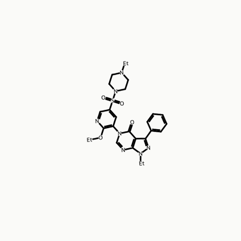 CCOc1ncc(S(=O)(=O)N2CCN(CC)CC2)cc1-n1cnc2c(c(-c3ccccc3)nn2CC)c1=O